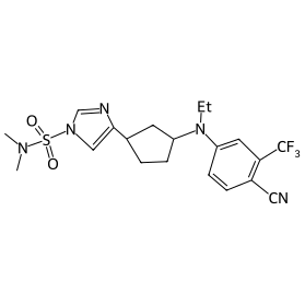 CCN(c1ccc(C#N)c(C(F)(F)F)c1)C1CCC(c2cn(S(=O)(=O)N(C)C)cn2)C1